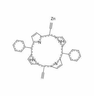 C#Cc1c2nc(c(-c3ccccc3)c3ccc([nH]3)c(C#C)c3nc(c(-c4ccccc4)c4ccc1[nH]4)C=C3)C=C2.[Zn]